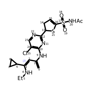 C=C(/C=C(\NCC)C1CC1)Nc1nc(C2CC=C(S(=O)(=O)NC(C)=O)S2)ncc1Cl